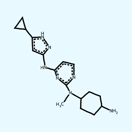 CN(c1nccc(Nc2cc(C3CC3)[nH]n2)n1)C1CCC(N)CC1